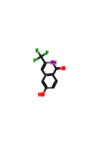 O=c1[pH]c(C(F)(F)F)cc2cc(O)ccc12